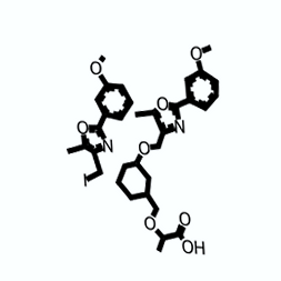 COc1cccc(-c2nc(CI)c(C)o2)c1.COc1cccc(-c2nc(COC3CCCC(COC(C)C(=O)O)C3)c(C)o2)c1